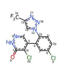 O=c1[nH]ncc(-c2cc(Cl)ccc2-n2cc(C(F)(F)F)nn2)c1Cl